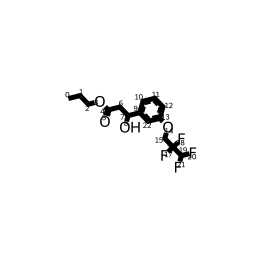 CCCOC(=O)CC(O)c1cccc(OCC(F)(F)C(F)F)c1